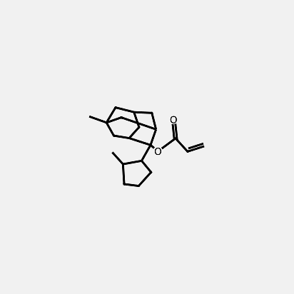 C=CC(=O)OC1(C2CCCC2C)C2CC3CC1CC(C)(C3)C2